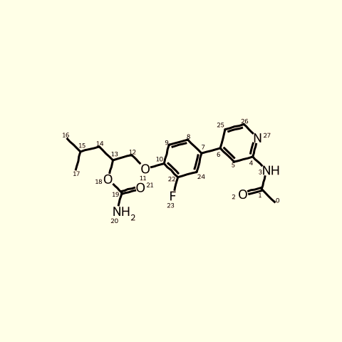 CC(=O)Nc1cc(-c2ccc(OCC(CC(C)C)OC(N)=O)c(F)c2)ccn1